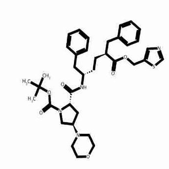 CC(C)(C)OC(=O)N1C[C@H](N2CCOCC2)C[C@H]1C(=O)N[C@@H](CC[C@@H](Cc1ccccc1)C(=O)OCc1cncs1)Cc1ccccc1